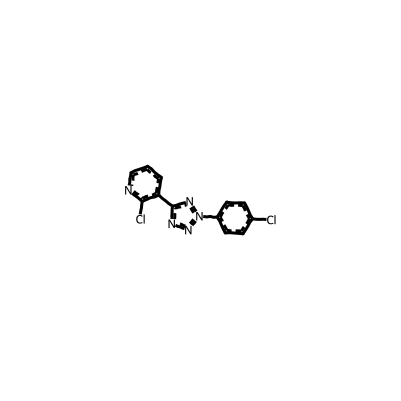 Clc1ccc(-n2nnc(-c3cccnc3Cl)n2)cc1